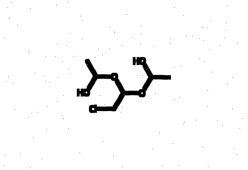 CC(O)OC(CCl)OC(C)O